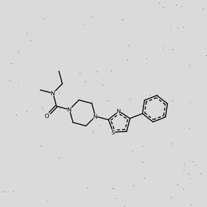 CCN(C)C(=O)N1CCN(c2nc(-c3ccccc3)cs2)CC1